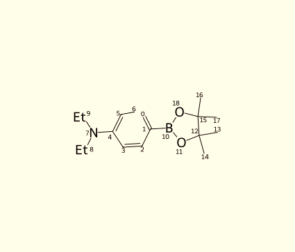 C=C(/C=C\C(=C/C)N(CC)CC)B1OC(C)(C)C(C)(C)O1